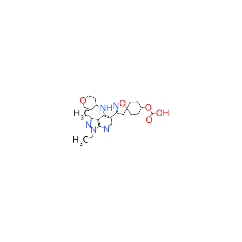 CCn1nc(C)c2c(NC3CCOCC3)c(C3=NOC4(CCC(OC(=O)O)CC4)C3)cnc21